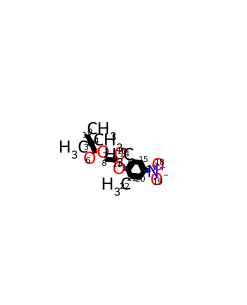 CCC(C)(C)C(=O)OCC(=O)Oc1c(C)cc([N+](=O)[O-])cc1C